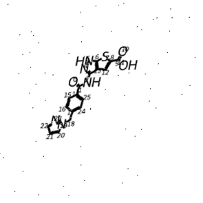 O=C(Nc1n[nH]c2sc(C(=O)O)cc12)c1ccc(Cn2cccn2)cc1